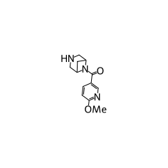 COc1ccc(C(=O)N2C3CNCC2C3)cn1